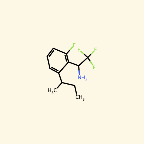 CCC(C)c1cccc(F)c1C(N)C(F)(F)F